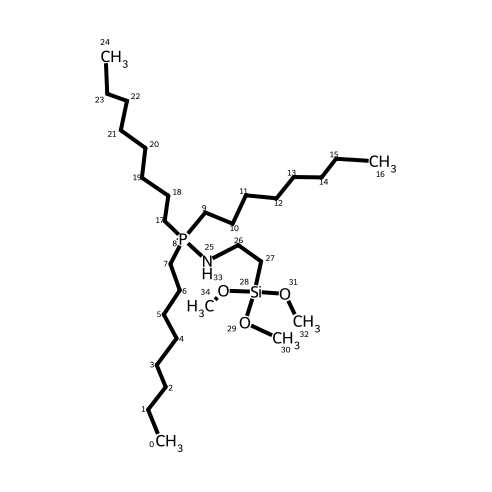 CCCCCCCC[P](CCCCCCCC)(CCCCCCCC)NCC[Si](OC)(OC)OC